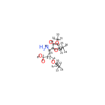 COC(=O)C1C(CO[Si](C)(C)C(C)(C)C)C1C(N)C(O[Si](C)(C)C(C)(C)C)C(=O)OC(C)(C)C